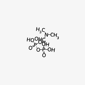 CN(C)C=O.O=P(O)(O)OP(=O)(O)O